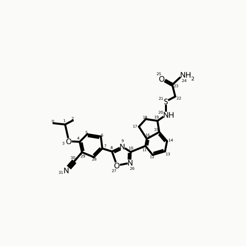 CC(C)Oc1ccc(-c2nc(-c3cccc4c3CCC4NSCC(N)=O)no2)cc1C#N